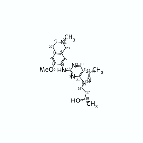 COc1cc2c(cc1Nc1ncc3c(C)nn(CCC(C)O)c3n1)CN(C)CC2